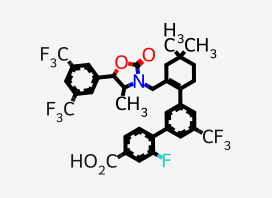 CC1C(c2cc(C(F)(F)F)cc(C(F)(F)F)c2)OC(=O)N1CC1=C(c2cc(-c3ccc(C(=O)O)cc3F)cc(C(F)(F)F)c2)CCC(C)(C)C1